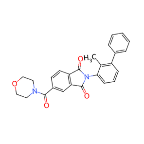 Cc1c(-c2ccccc2)cccc1N1C(=O)c2ccc(C(=O)N3CCOCC3)cc2C1=O